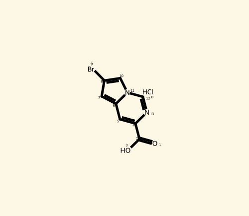 Cl.O=C(O)c1cc2cc(Br)cn2cn1